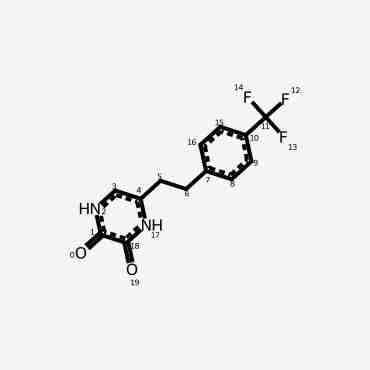 O=c1[nH]cc(CCc2ccc(C(F)(F)F)cc2)[nH]c1=O